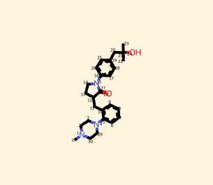 CN1CCN(c2ccccc2CC2CCN(c3ccc(CC(C)(C)O)cc3)C2=O)CC1